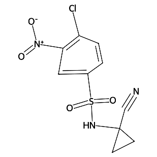 N#CC1(NS(=O)(=O)c2ccc(Cl)c([N+](=O)[O-])c2)CC1